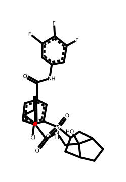 C=C1CC1C(=O)NCC1(O)C2CCC1CC(S(=O)(=O)c1cc(C(=O)Nc3cc(F)c(F)c(F)c3)ccc1Cl)C2